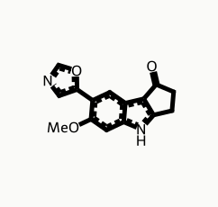 COc1cc2[nH]c3c(c2cc1-c1cnco1)C(=O)CC3